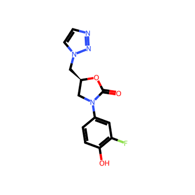 O=C1O[C@H](Cn2ccnn2)CN1c1ccc(O)c(F)c1